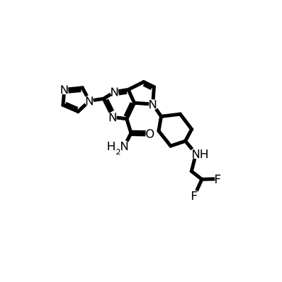 NC(=O)c1nc(-n2ccnc2)nc2ccn(C3CCC(NCC(F)F)CC3)c12